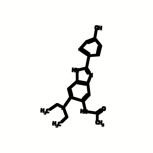 CCN(CC)c1cc2[nH]c(-c3ccc(O)cc3)nc2cc1NC(C)=O